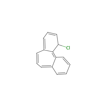 ClC1C=CC=C2C=CC=c3ccccc3=C21